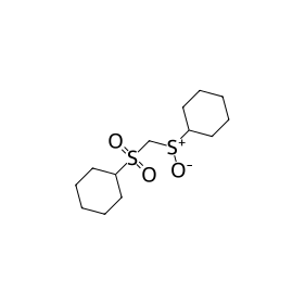 O=S(=O)(C[S+]([O-])C1CCCCC1)C1CCCCC1